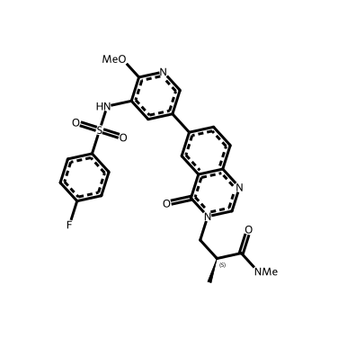 CNC(=O)[C@@H](C)Cn1cnc2ccc(-c3cnc(OC)c(NS(=O)(=O)c4ccc(F)cc4)c3)cc2c1=O